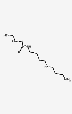 NCCCNCCCCNC(=O)CNCO